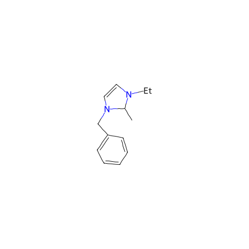 CCN1C=CN(Cc2ccccc2)C1C